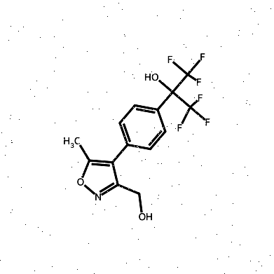 Cc1onc(CO)c1-c1ccc(C(O)(C(F)(F)F)C(F)(F)F)cc1